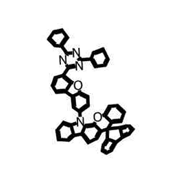 c1ccc(-c2nc(-c3ccccc3)nc(-c3cccc4c3oc3ccc(-n5c6ccccc6c6ccc7c(c65)Oc5ccccc5C75c6ccccc6-c6ccccc65)cc34)n2)cc1